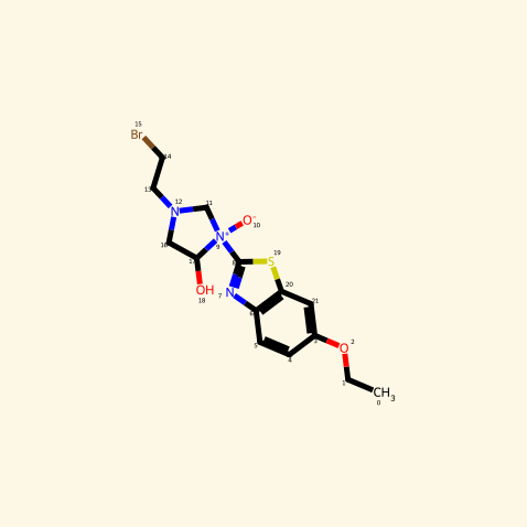 CCOc1ccc2nc([N+]3([O-])CN(CCBr)CC3O)sc2c1